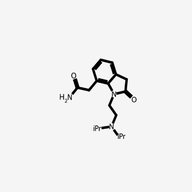 CC(C)N(CCN1C(=O)Cc2cccc(CC(N)=O)c21)C(C)C